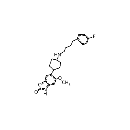 COc1cc2[nH]c(=O)oc2cc1C1CCC(NCCCCc2ccc(F)cc2)CC1